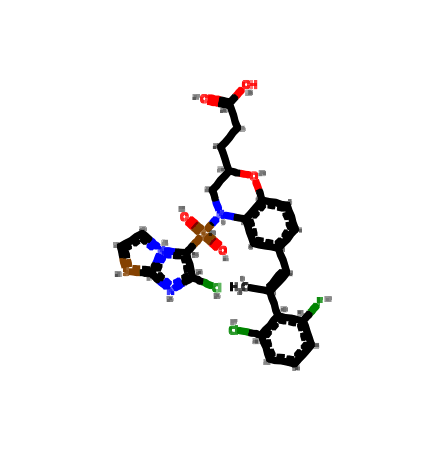 CC(=Cc1ccc2c(c1)N(S(=O)(=O)c1c(Cl)nc3sccn13)CC(CCC(=O)O)O2)c1c(F)cccc1Cl